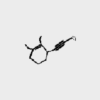 CC1=C(C)C(C#CCl)CCC1